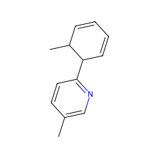 Cc1ccc(C2C=CC=CC2C)nc1